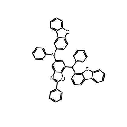 c1ccc(-c2nc3cc(N(c4ccccc4)c4ccc5oc6ccccc6c5c4)cc(C(c4ccccc4)c4cccc5c4sc4ccccc45)c3o2)cc1